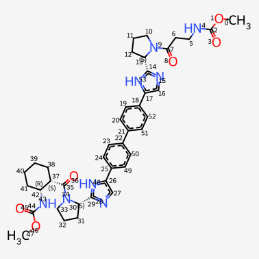 COC(=O)NCCC(=O)N1CCC[C@H]1c1ncc(-c2ccc(-c3ccc(-c4cnc([C@@H]5CCCN5C(=O)[C@H]5CCCC[C@H]5NC(=O)OC)[nH]4)cc3)cc2)[nH]1